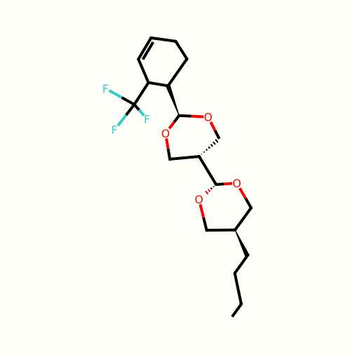 CCCC[C@H]1CO[C@H]([C@H]2CO[C@H](C3CCC=CC3C(F)(F)F)OC2)OC1